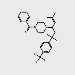 CC(C)=CC(CC(C)(C)c1ccc(C(F)(F)F)cc1)N1CCN(C(=O)c2ccccc2)CC1